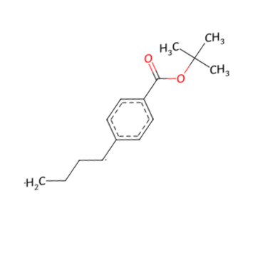 [CH2]CC[CH]c1ccc(C(=O)OC(C)(C)C)cc1